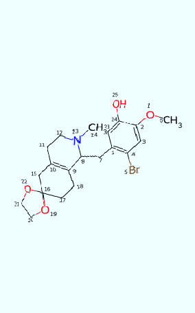 COc1cc(Br)c(CC2C3=C(CCN2C)CC2(CC3)OCCO2)cc1O